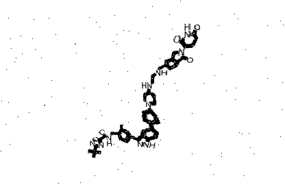 Cc1cc(-c2n[nH]c3ccc(-c4ccc(N5CCC(NCCNCc6ccc7c(c6)CN(C6CCC(=O)NC6=O)C7=O)CC5)cc4)cc23)ccc1CNC(=O)c1nc(C(C)(C)C)no1